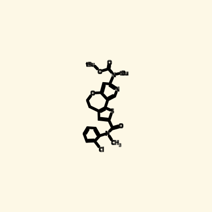 CN(C(=O)c1cc2c(s1)-c1cnc(N(C(=O)OC(C)(C)C)C(C)(C)C)cc1OCC2)c1ccccc1Cl